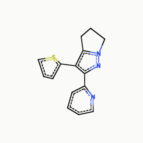 c1ccc(-c2nn3c(c2-c2cccs2)CCC3)nc1